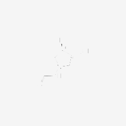 O=CBN1C[C@@H](O)[C@H](F)C1